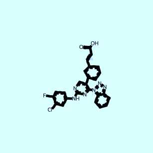 O=C(O)/C=C/c1cccc(-c2cnc(Nc3ccc(F)c(Cl)c3)nc2-n2nnc3ccccc32)c1